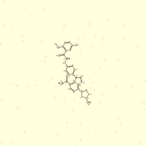 COc1ccc(F)cc1C(=O)NCc1ccc(-n2ncc3c(C4CCC(O)C4)ccc(C(N)=O)c32)cc1